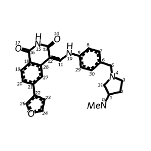 CNC1CCN(Cc2ccc(N/C=C3\C(=O)NC(=O)c4ccc(-c5ccoc5)cc43)cc2)C1